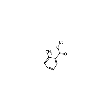 CCOC(=O)c1ccccc1C